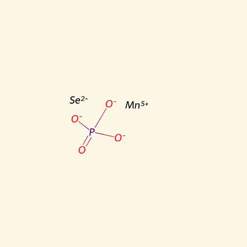 O=P([O-])([O-])[O-].[Mn+5].[Se-2]